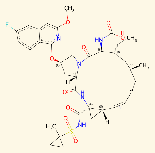 CC[C@@H]1C[C@@H](C)CC/C=C\[C@@H]2C[C@@]2(C(=O)NS(=O)(=O)C2(C)CC2)NC(=O)[C@@H]2C[C@@H](Oc3nc(OC)cc4cc(F)ccc34)CN2C(=O)[C@H]1NC(=O)O